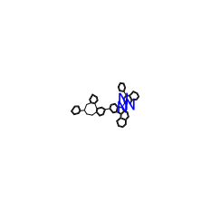 c1ccc(-c2nc(-n3c4ccc(-c5ccc6c(c5)-c5ccccc5CC(c5ccccc5)CC6)cc4c4c5ccccc5ccc43)nc3ccccc23)cc1